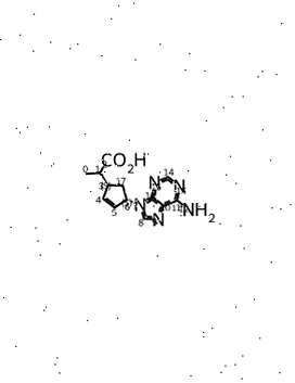 CC(C(=O)O)[C@@H]1C=C[C@@H](n2cnc3c(N)ncnc32)C1